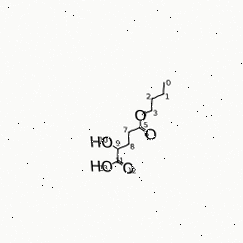 CCCCOC(=O)CCC(O)C(=O)O